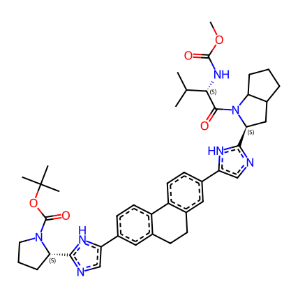 COC(=O)N[C@H](C(=O)N1C2CCCC2C[C@H]1c1ncc(-c2ccc3c(c2)CCc2cc(-c4cnc([C@@H]5CCCN5C(=O)OC(C)(C)C)[nH]4)ccc2-3)[nH]1)C(C)C